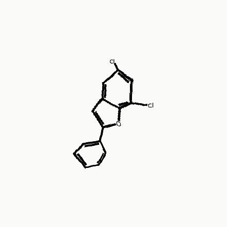 Clc1cc(Cl)c2oc(-c3cc[c]cc3)cc2c1